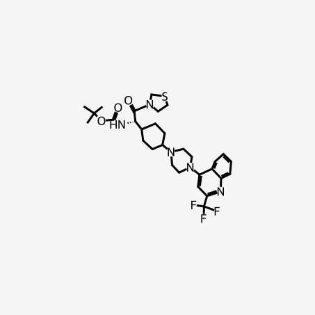 CC(C)(C)OC(=O)N[C@H](C(=O)N1CCSC1)C1CCC(N2CCN(c3cc(C(F)(F)F)nc4ccccc34)CC2)CC1